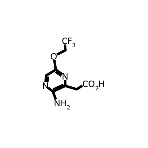 Nc1ncc(OCC(F)(F)F)nc1CC(=O)O